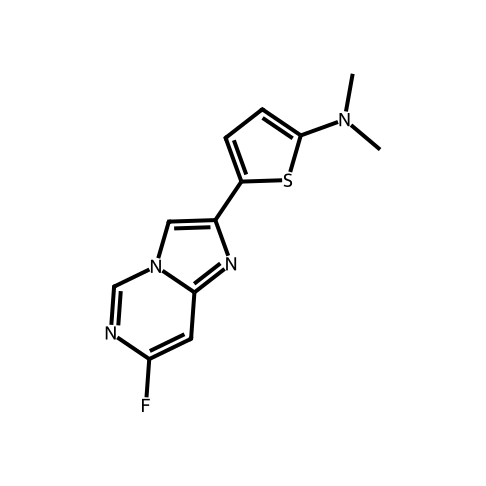 CN(C)c1ccc(-c2cn3cnc(F)cc3n2)s1